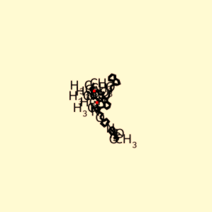 CCOC(=O)c1c(CCCOc2cccc3ccccc23)c2cccc(-c3c(COc4ccc(N5CCN(S(C)(=O)=O)CC5)cc4)nn(C)c3CO)c2n1CCCN(C)C(=O)OC(C)(C)C